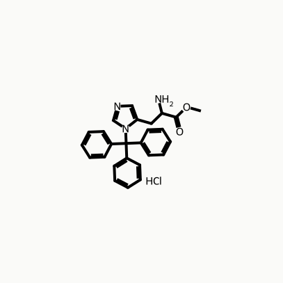 COC(=O)C(N)Cc1cncn1C(c1ccccc1)(c1ccccc1)c1ccccc1.Cl